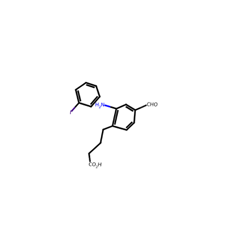 Ic1ccccc1.Nc1cc(C=O)ccc1CCCC(=O)O